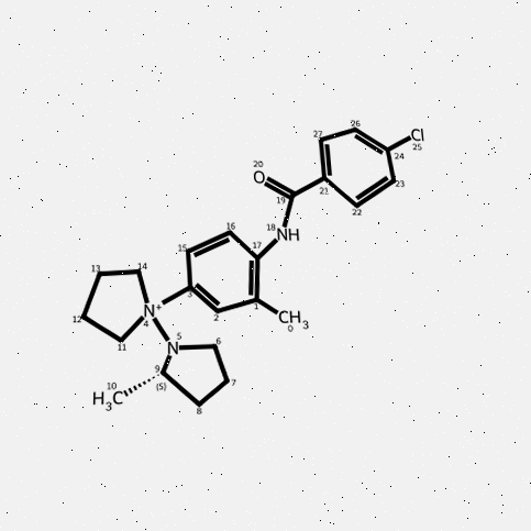 Cc1cc([N+]2(N3CCC[C@@H]3C)CCCC2)ccc1NC(=O)c1ccc(Cl)cc1